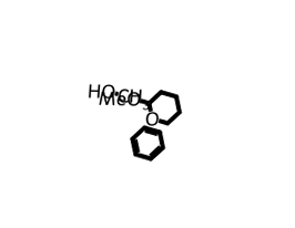 CO.COC1CCCCO1.c1ccccc1